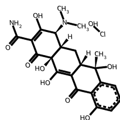 CN(C)[C@@H]1C(O)=C(C(N)=O)C(=O)[C@@]2(O)C(O)=C3C(=O)c4c(O)cccc4[C@@](C)(O)[C@H]3C[C@@H]12.OCl